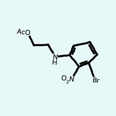 CC(=O)OCCNc1cccc(Br)c1[N+](=O)[O-]